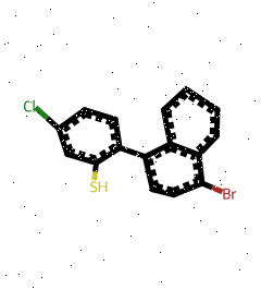 Sc1cc(Cl)ccc1-c1ccc(Br)c2ccccc12